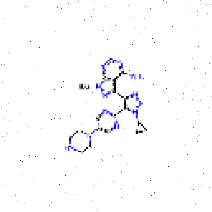 CC(C)(C)n1nc(-c2nnn(C3CC3)c2-c2ncc(N3CCNCC3)cn2)c2c(N)ncnc21